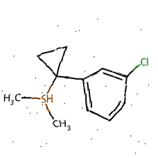 C[SH](C)C1(c2cccc(Cl)c2)CC1